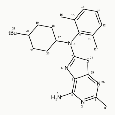 Cc1nc(N)c2nc(N(c3c(C)cccc3C)C3CCC(C(C)(C)C)CC3)sc2n1